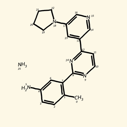 Cc1ccc(N)cc1-c1nccc(-c2cncc(N3CCCC3)c2)n1.N